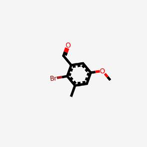 COc1cc(C)c(Br)c(C=O)c1